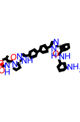 COC(=O)N[C@H](C(=O)N1CCC[C@H]1c1ncc(-c2ccc(-c3ccc(-c4cnc([C@@H]5C6CCC(C6)C5C(=O)NCc5cccc(N)c5)[nH]4)cc3)cc2)[nH]1)C(C)C